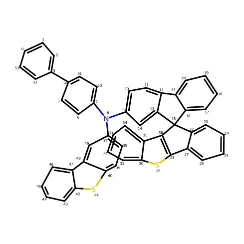 c1ccc(-c2ccc(N(c3ccc4c(c3)C3(c5ccccc5-4)c4ccccc4-c4sc5ccccc5c43)c3ccc4sc5ccccc5c4c3)cc2)cc1